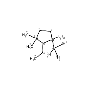 [2H]C([2H])([2H])[Si]1(C)CC[Si](C)(C)C1CC